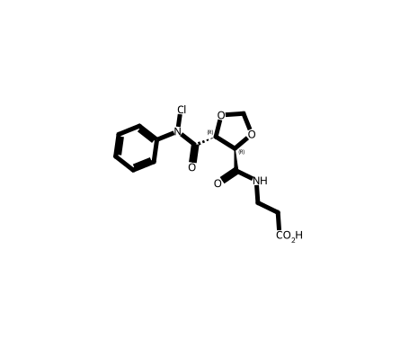 O=C(O)CCNC(=O)[C@@H]1OCO[C@H]1C(=O)N(Cl)c1ccccc1